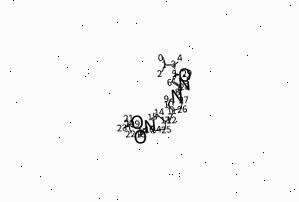 CC(C)C(C)c1cc(N2CCC(CC3CCN(C(=O)OC(C)(C)C)CC3)CC2)no1